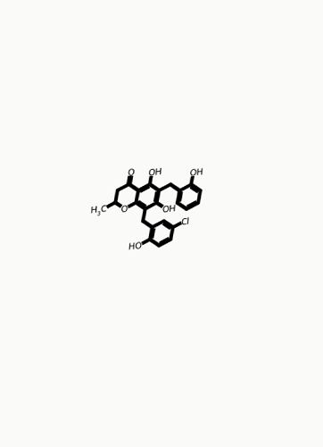 CC1CC(=O)c2c(O)c(Cc3ccccc3O)c(O)c(Cc3cc(Cl)ccc3O)c2O1